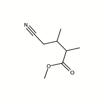 COC(=O)C(C)C(C)CC#N